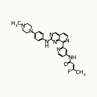 C/C(F)=C/C(=O)Nc1ccnc(-c2nccc3cnc(Nc4ccc(N5CCN(C)CC5)cc4)nc23)c1